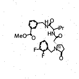 COC(=O)c1cccc(CNC(=O)C(NC(=O)C[C@@H]2CCC(=O)N2Cc2cccc(F)c2F)C(C)C)c1